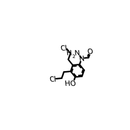 NN(C=O)c1ccc(O)c(CCCl)c1CCCl